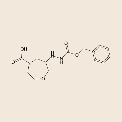 O=C(NNC1COCCN(C(=O)O)C1)OCc1ccccc1